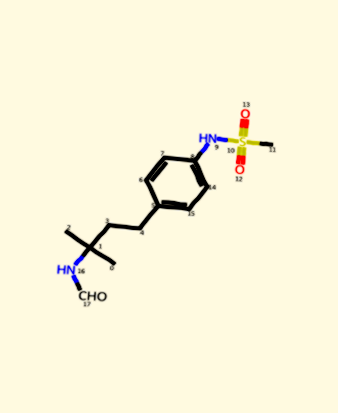 CC(C)(CCc1ccc(NS(C)(=O)=O)cc1)NC=O